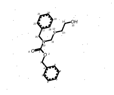 O=C(OCc1ccccc1)N(CSCCO)Cc1ccccc1